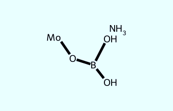 N.OB(O)[O][Mo]